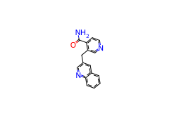 NC(=O)c1ccncc1Cc1cnc2ccccc2c1